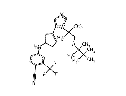 CC(C)(CO[Si](C)(C)C(C)(C)C)n1cncc1C1=CCC(Nc2ccc(C#N)c(C(F)(F)F)c2)C1